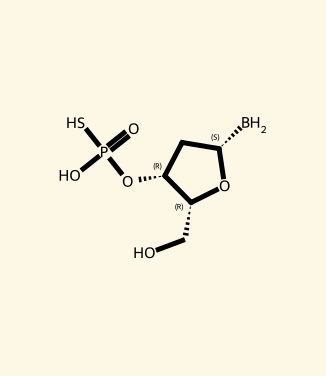 B[C@H]1C[C@@H](OP(=O)(O)S)[C@@H](CO)O1